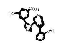 COc1ccccc1-c1ccncc1-n1cncc1-c1cc(C(=O)O)cc(C(F)(F)F)c1